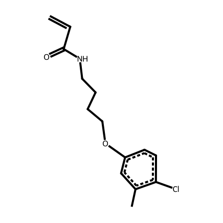 C=CC(=O)NCCCCOc1ccc(Cl)c(C)c1